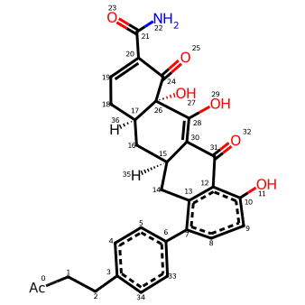 CC(=O)CCc1ccc(-c2ccc(O)c3c2C[C@H]2C[C@H]4CC=C(C(N)=O)C(=O)[C@@]4(O)C(O)=C2C3=O)cc1